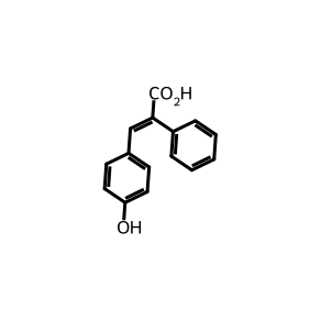 O=C(O)C(=Cc1ccc(O)cc1)c1ccccc1